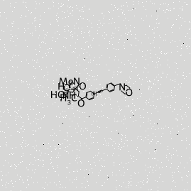 CNC(=O)[C@@](C)(CC(=O)NO)CC(C)C(=O)C1=CC[C@@H](C#Cc2ccc(CN3CCOCC3)cc2)C=C1